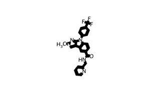 Cn1cc2c3cc(C(=O)NCc4ccccn4)ccc3n(-c3ccc(C(F)(F)F)cc3)c2n1